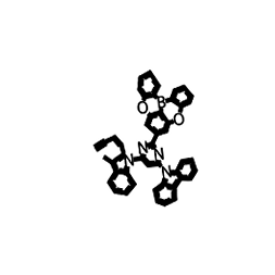 C#C/C=C\c1c(C)c2ccccc2n1-c1cc(-n2c3ccccc3c3ccccc32)nc(-c2cc3c4c(c2)Oc2ccccc2B4c2ccccc2O3)n1